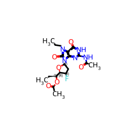 CCCn1c(=O)n([C@H]2C[C@@H](F)[C@@H]([C@H](CC)OC(C)=O)O2)c2nc(NC(C)=O)[nH]c(=O)c21